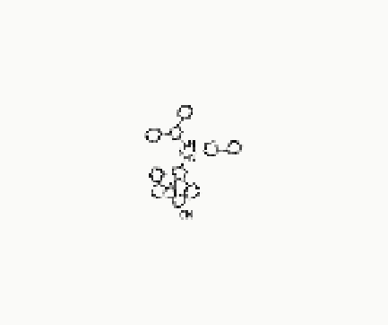 N#Cc1ccc2c(c1)c1ccccc1n2-c1c(-c2ccccc2)cc(-c2nc(-c3ccc(-c4ccccc4)cc3)nc(-c3cc(-c4ccccc4)cc(-c4ccccc4)c3)n2)cc1-c1ccccc1